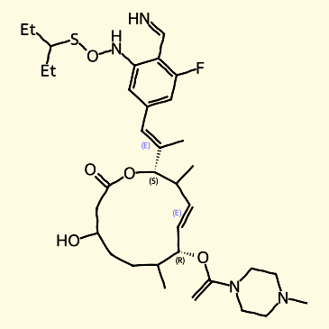 C=C(O[C@H]1/C=C/C(C)[C@@H](/C(C)=C/c2cc(F)c(C=N)c(NOSC(CC)CC)c2)OC(=O)CC(O)CCC1C)N1CCN(C)CC1